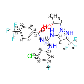 CC(O)CN1NC(C(F)(F)F)CC1N/C(=N\C(=O)c1ccc(C(F)(F)F)cc1)Nc1cc(F)cc(Cl)c1